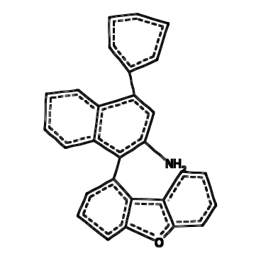 Nc1cc(-c2ccccc2)c2ccccc2c1-c1cccc2oc3ccccc3c12